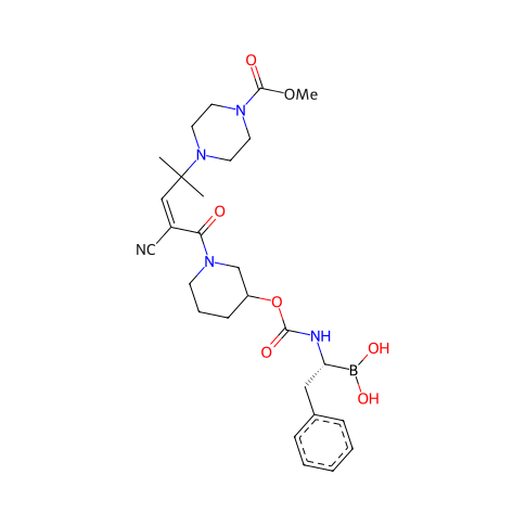 COC(=O)N1CCN(C(C)(C)C=C(C#N)C(=O)N2CCCC(OC(=O)N[C@@H](Cc3ccccc3)B(O)O)C2)CC1